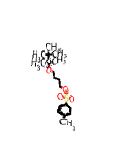 Cc1ccc(S(=O)(=O)OCCCCO[Si](C)(C)C(C)(C)C)cc1